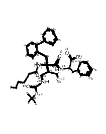 CCCCCC(=O)NC(Cc1ccccc1-c1ccccc1)(C(=O)NC(Cc1ccccc1)C(=O)O)C(CO)CNC(=O)OC(C)(C)C